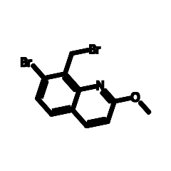 COc1ccc2ccc(Br)c(CBr)c2n1